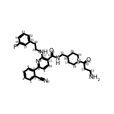 N#Cc1ccccc1-c1ccc(C(=O)NCC2CCN(C(=O)CCN)CC2)c(NCCc2cccc(F)c2)n1